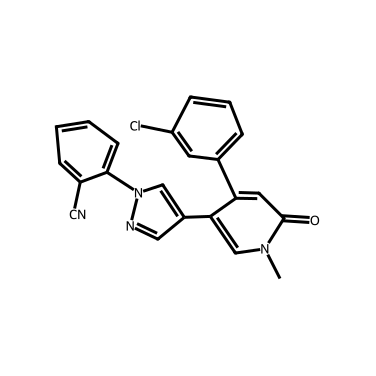 Cn1cc(-c2cnn(-c3ccccc3C#N)c2)c(-c2cccc(Cl)c2)cc1=O